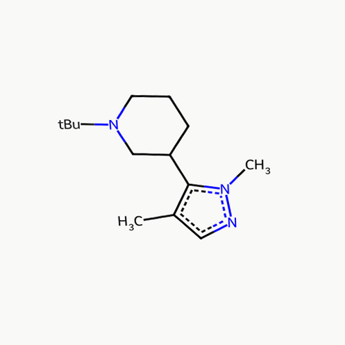 Cc1cnn(C)c1C1CCCN(C(C)(C)C)C1